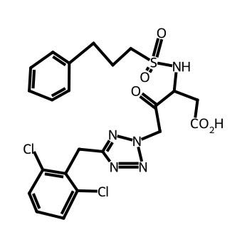 O=C(O)CC(NS(=O)(=O)CCCc1ccccc1)C(=O)Cn1nnc(Cc2c(Cl)cccc2Cl)n1